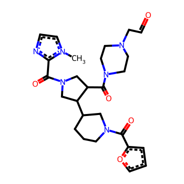 Cn1ccnc1C(=O)N1CC(C(=O)N2CCN(CC=O)CC2)C(C2CCCN(C(=O)c3ccco3)C2)C1